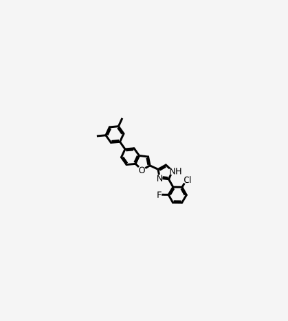 Cc1cc(C)cc(-c2ccc3oc(-c4c[nH]c(-c5c(F)cccc5Cl)n4)cc3c2)c1